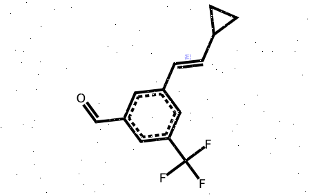 O=Cc1cc(/C=C/C2CC2)cc(C(F)(F)F)c1